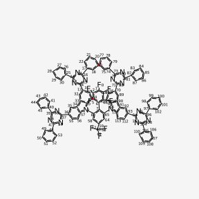 Fc1c(F)c(F)c(-c2c(-n3c4ccc(-c5nc(-c6ccccc6)nc(-c6ccccc6)n5)cc4c4cc(-c5nc(-c6ccccc6)nc(-c6ccccc6)n5)ccc43)cc(C(F)(F)F)cc2-n2c3ccc(-c4nc(-c5ccccc5)nc(-c5ccccc5)n4)cc3c3cc(-c4nc(-c5ccccc5)nc(-c5ccccc5)n4)ccc32)c(F)c1F